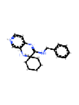 c1ccc(CNC2=Nc3ccncc3NC23CCCCC3)cc1